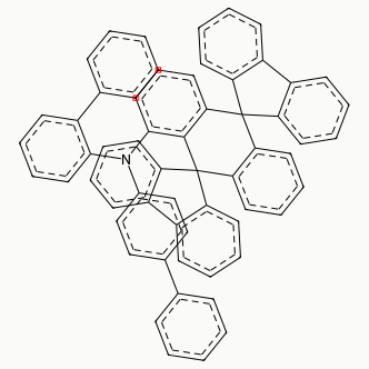 c1ccc(-c2ccc(N(c3ccccc3-c3ccccc3)c3cccc4c3C3(c5ccccc5-c5ccccc53)c3ccccc3C43c4ccccc4-c4ccccc43)cc2)cc1